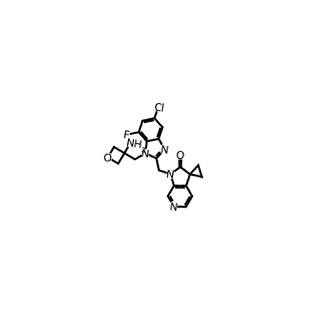 NC1(Cn2c(CN3C(=O)C4(CC4)c4ccncc43)nc3cc(Cl)cc(F)c32)COC1